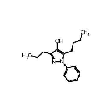 CCCCc1c(O)c(CCC)nn1-c1ccccc1